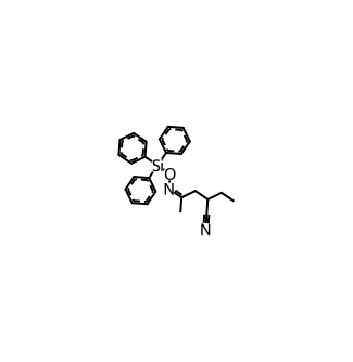 CCC(C#N)CC(C)=NO[Si](c1ccccc1)(c1ccccc1)c1ccccc1